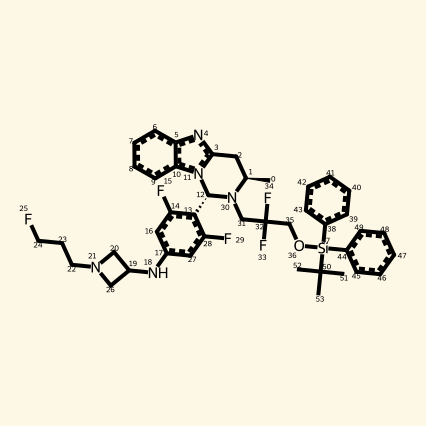 C[C@@H]1Cc2nc3ccccc3n2[C@@H](c2c(F)cc(NC3CN(CCCF)C3)cc2F)N1CC(F)(F)CO[Si](c1ccccc1)(c1ccccc1)C(C)(C)C